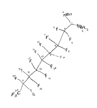 CCCCC(N)C(F)(F)C(F)(F)C(F)(F)C(F)(F)C(F)(F)C(F)(F)C(F)(F)C(F)(F)F